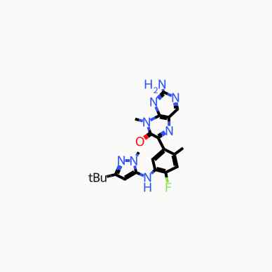 Cc1cc(F)c(Nc2cc(C(C)(C)C)nn2C)cc1-c1nc2cnc(N)nc2n(C)c1=O